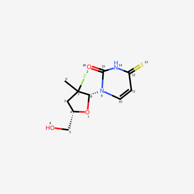 CC1(F)C[C@@H](CO)O[C@H]1n1ccc(=S)[nH]c1=O